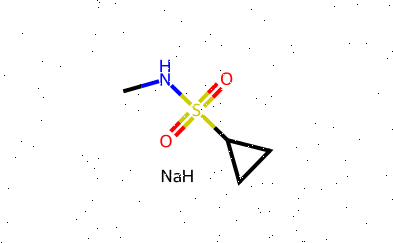 CNS(=O)(=O)C1CC1.[NaH]